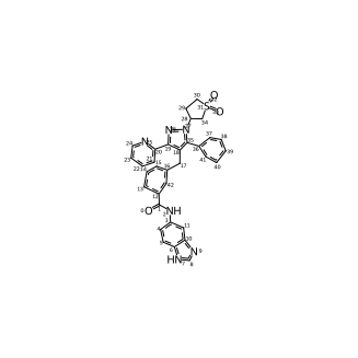 O=C(Nc1ccc2[nH]cnc2c1)c1cccc(Cc2c(-c3ccccn3)nn(C3CCS(=O)(=O)C3)c2-c2ccccc2)c1